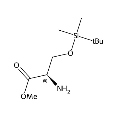 COC(=O)[C@H](N)CO[Si](C)(C)C(C)(C)C